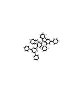 c1ccc(-c2cc(-c3ccccc3)nc(-c3ccc(-n4c5ccccc5c5cc(-c6ccccc6)cc(-c6ccccc6)c54)c4sc5ccccc5c34)c2)cc1